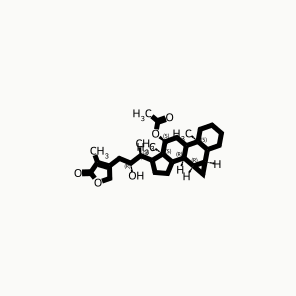 CC(=O)O[C@H]1CC2[C@H](C3CCC([C@H](C)[C@H](O)CC4=C(C)C(=O)OC4)[C@]31C)[C@@H]1C[C@@H]1C1CCCC[C@]21C